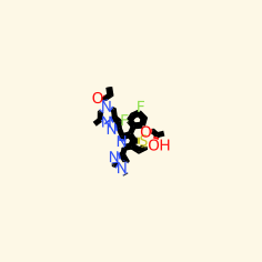 C=CC(=O)N1Cc2cc(-c3nc(-c4cn(C)cn4)c4ccsc4c3-c3c(F)cc(F)cc3OCC(C)O)nn2C(C)C1